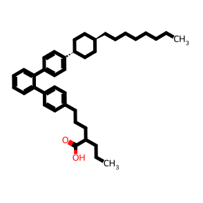 CCCCCCCC[C@H]1CC[C@H](c2ccc(-c3ccccc3-c3ccc(CCCC(CCC)C(=O)O)cc3)cc2)CC1